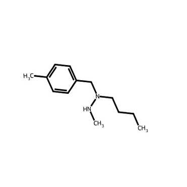 CCCCN(Cc1ccc(C)cc1)NC